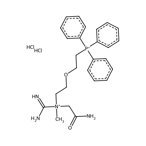 C[N+](CCOCC[P+](c1ccccc1)(c1ccccc1)c1ccccc1)(CC(N)=O)C(=N)N.Cl.Cl